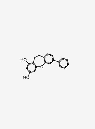 Oc1cc(O)c2c(c1)Oc1cc(-c3ccccc3)ccc1CC2